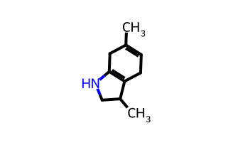 CC1=CCC2=C(C1)NCC2C